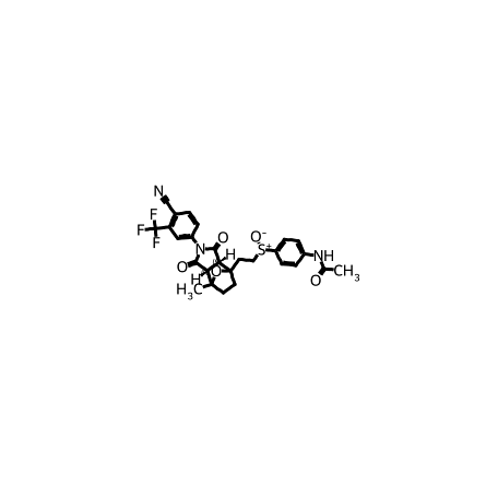 CC(=O)Nc1ccc([S+]([O-])CCC23CCC(C)(O2)[C@@H]2C(=O)N(c4ccc(C#N)c(C(F)(F)F)c4)C(=O)[C@@H]23)cc1